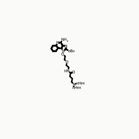 CCCCCCN(CCCCCC)CCCC(=O)NCCOCCOn1c(CCCC)nc2c(N)nc3ccccc3c21